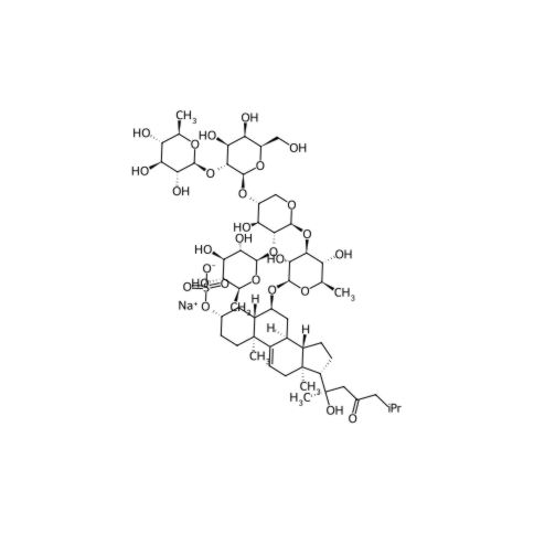 CC(C)CC(=O)C[C@@](C)(O)[C@H]1CC[C@H]2[C@@H]3C[C@H](O[C@@H]4O[C@H](C)[C@@H](O)[C@H](O[C@@H]5OC[C@@H](O[C@@H]6O[C@H](CO)[C@H](O)[C@H](O)[C@H]6O[C@@H]6O[C@H](C)[C@@H](O)[C@H](O)[C@H]6O)[C@H](O)[C@H]5O[C@H]5O[C@@H](C)[C@H](O)[C@@H](O)[C@@H]5O)[C@H]4O)[C@H]4C[C@@H](OS(=O)(=O)[O-])CC[C@]4(C)C3=CC[C@@]21C.[Na+]